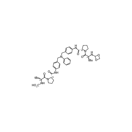 CC(C)(C)[C@H](NC(=O)O)C(=O)N1CCC[C@H]1C(=O)Nc1ccc(CN(Cc2ccc(NC(=O)[C@@H]3CCCN3C(=O)[C@@H](NC3OCO3)C(C)(C)C)cc2)c2ccccc2)cc1